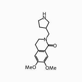 COc1cc2c(cc1OC)C(=O)N(CC1CCNC1)CC2